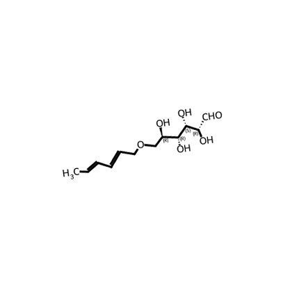 CC=CC=CCOC[C@@H](O)[C@@H](O)[C@H](O)[C@@H](O)C=O